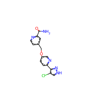 NC(=O)c1cc(COc2ccc(-c3n[nH]cc3Cl)nc2)ccn1